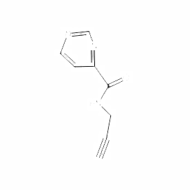 C#CCNC(=O)c1ccncn1